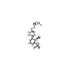 COCCN1CCN(c2cccc(OC(F)F)c2C#N)CC1